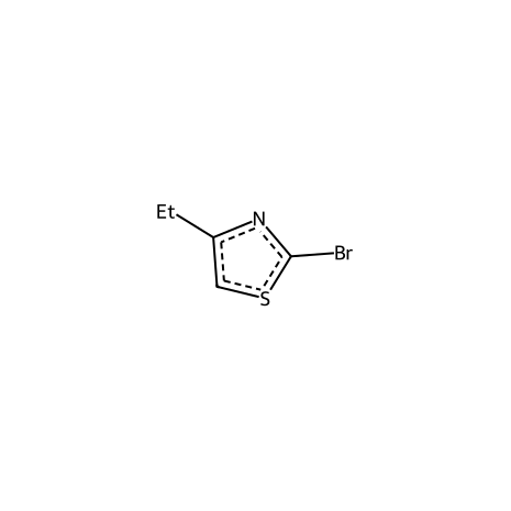 [CH2]Cc1csc(Br)n1